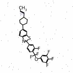 C/C=C/C1CCC(c2ccc3nc(-c4ccc(C(F)(F)Oc5cc(F)c(F)c(F)c5)c(F)c4)sc3c2)CC1